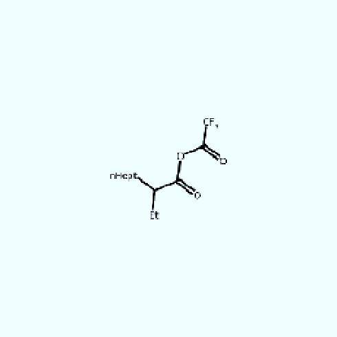 CCCCCCCC(CC)C(=O)OC(=O)C(F)(F)F